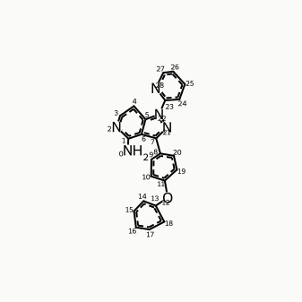 Nc1nccc2c1c(-c1ccc(Oc3ccccc3)cc1)nn2-c1ccccn1